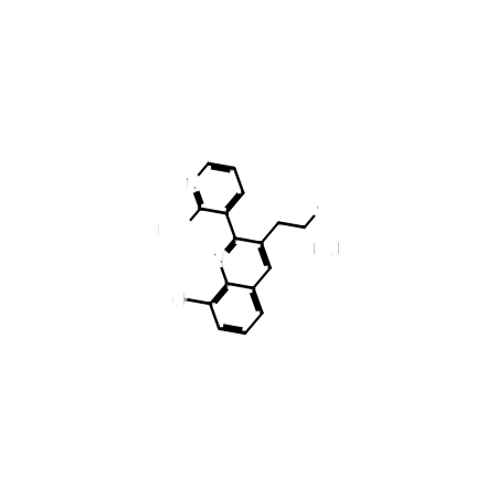 Cc1ncccc1-c1nc2c(Cl)cccc2cc1CCCl.Cl